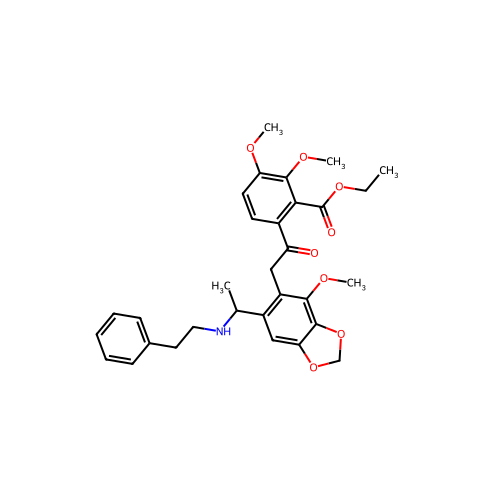 CCOC(=O)c1c(C(=O)Cc2c(C(C)NCCc3ccccc3)cc3c(c2OC)OCO3)ccc(OC)c1OC